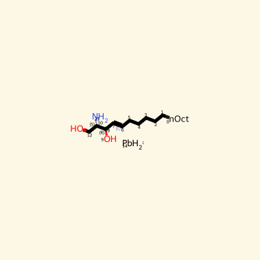 CCCCCCCCCCCCC/C=C/[C@@H](O)[C@@H](N)CO.[PbH2]